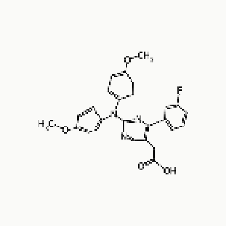 COc1ccc(N(c2ccc(OC)cc2)c2ncc(CC(=O)O)c(-c3cccc(F)c3)n2)cc1